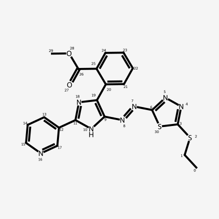 CCSc1nnc(/N=N/c2[nH]c(-c3cccnc3)nc2-c2ccccc2C(=O)OC)s1